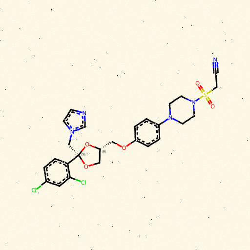 N#CCS(=O)(=O)N1CCN(c2ccc(OC[C@@H]3CO[C@@](Cn4ccnc4)(c4ccc(Cl)cc4Cl)O3)cc2)CC1